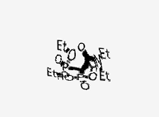 CCOP(=O)(OCC)C(C(=O)N(CC)CC)P(=O)(O)O